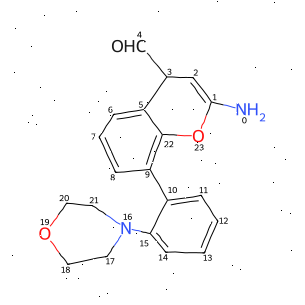 NC1=CC(C=O)c2cccc(-c3ccccc3N3CCOCC3)c2O1